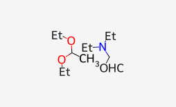 CCN(CC)CC=O.CCOC(C)OCC